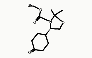 CC(C)(C)OC(=O)N1[C@H](C2CCC(=O)CC2)COC1(C)C